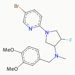 COc1ccc(CN(C)C2CN(c3ccc(Br)cn3)CC2F)cc1OC